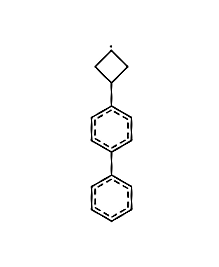 [CH]1CC(c2ccc(-c3ccccc3)cc2)C1